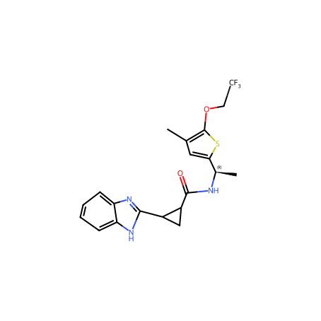 Cc1cc([C@@H](C)NC(=O)C2CC2c2nc3ccccc3[nH]2)sc1OCC(F)(F)F